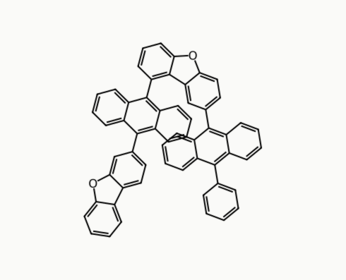 c1ccc(-c2c3ccccc3c(-c3ccc4oc5cccc(-c6c7ccccc7c(-c7ccc8c(c7)oc7ccccc78)c7ccccc67)c5c4c3)c3ccccc23)cc1